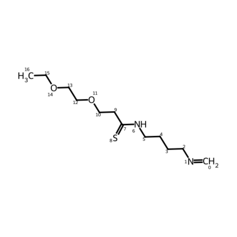 C=NCCCCNC(=S)CCOCCOCC